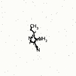 CCCn1ncc(C#N)c1N